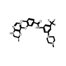 C[C@H]1CNc2ncnc(Oc3cc(C(=O)Nc4cc(N5CCN(C)CC5)cc(C(F)(F)F)c4)ccc3Cl)c2O1